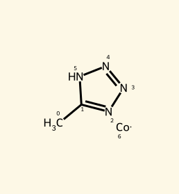 Cc1nnn[nH]1.[Co]